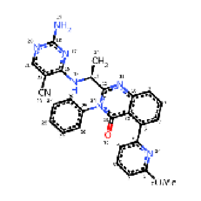 COc1cccc(-c2cccc3nc([C@H](C)Nc4nc(N)ncc4C#N)n(-c4ccccc4)c(=O)c23)n1